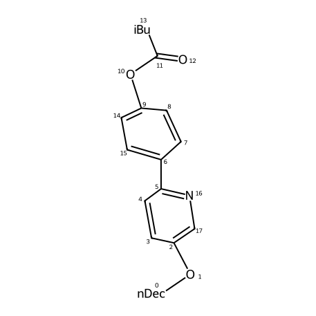 CCCCCCCCCCOc1ccc(-c2ccc(OC(=O)C(C)CC)cc2)nc1